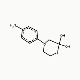 Nc1ccc(N2CCSC(O)(O)C2)cc1